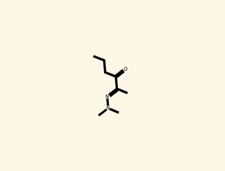 CCCC(=O)C(C)=NN(C)C